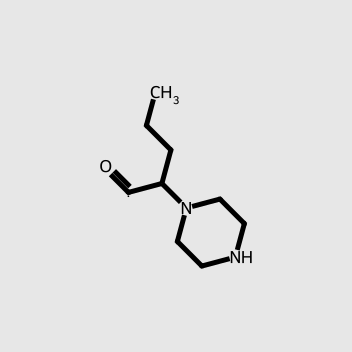 CCCC([C]=O)N1CCNCC1